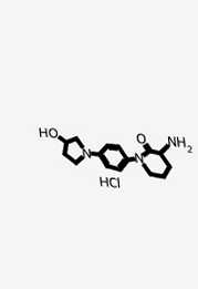 Cl.NC1CCCN(c2ccc(N3CCC(O)C3)cc2)C1=O